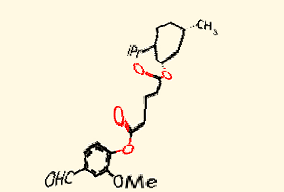 COc1cc(C=O)ccc1OC(=O)CCCC(=O)O[C@H]1C[C@@H](C)CC[C@@H]1C(C)C